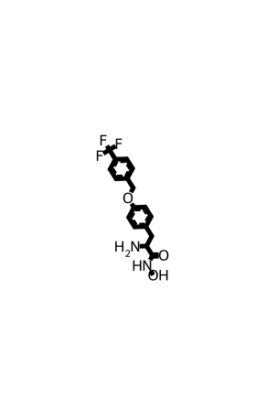 NC(Cc1ccc(OCc2ccc(C(F)(F)F)cc2)cc1)C(=O)NO